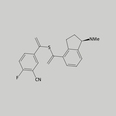 C=C(SC(=C)c1cccc2c1CC[C@H]2NC)c1ccc(F)c(C#N)c1